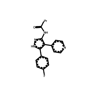 CC(C)C(=O)Nc1n[nH]c(-c2ccc(F)cc2)c1-c1ccncc1